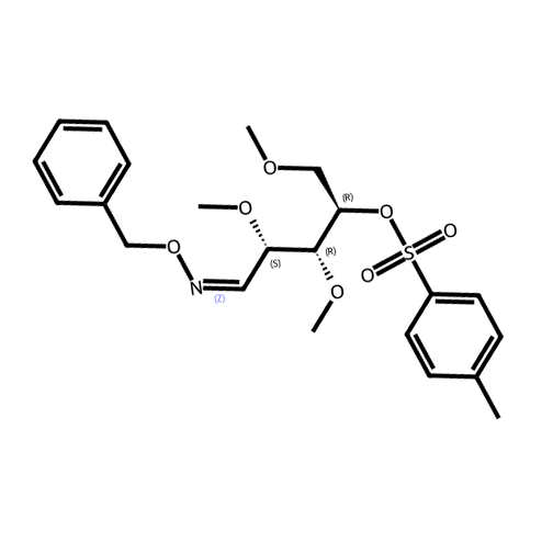 COC[C@@H](OS(=O)(=O)c1ccc(C)cc1)[C@H](OC)[C@H](/C=N\OCc1ccccc1)OC